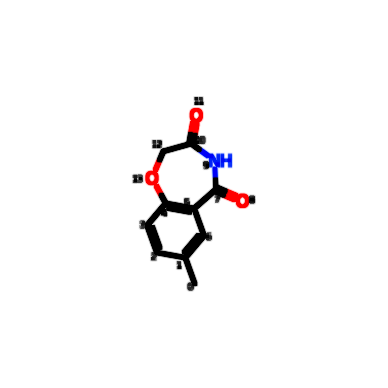 Cc1ccc2c(c1)C(=O)NC(=O)CO2